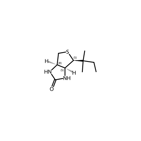 CCC(C)(C)[C@@H]1SC[C@@H]2NC(=O)N[C@@H]21